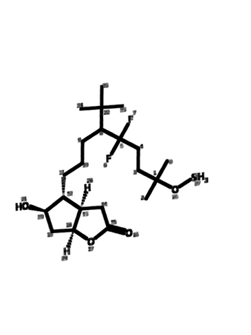 CC(C)(CCC(F)(F)C(CCC[C@@H]1[C@H]2CC(=O)O[C@H]2C[C@H]1O)C(C)(C)C)O[SiH3]